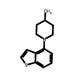 CC1CCN(c2cccc3sccc23)CC1